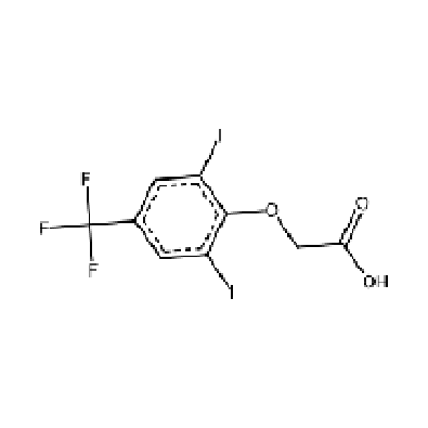 O=C(O)COc1c(I)cc(C(F)(F)F)cc1I